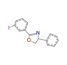 Ic1cccc(C2=NC(c3ccccc3)CO2)c1